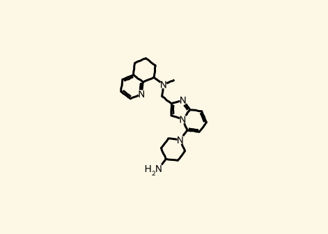 CN(Cc1cn2c(N3CCC(N)CC3)cccc2n1)C1CCCc2cccnc21